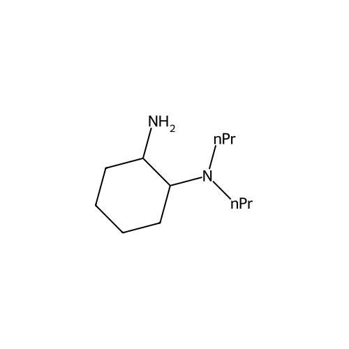 CCCN(CCC)C1CCCCC1N